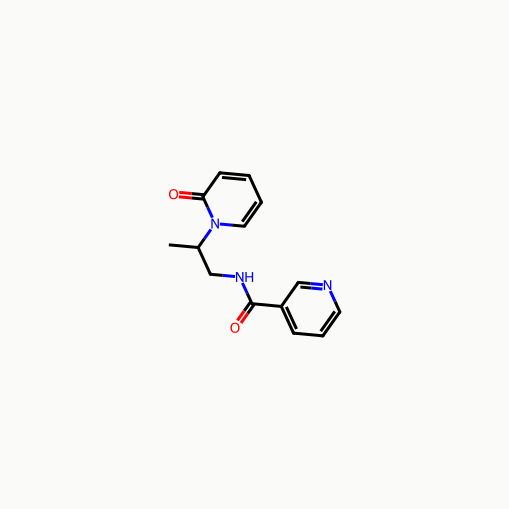 CC(CNC(=O)c1cccnc1)n1ccccc1=O